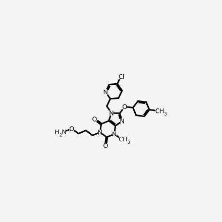 CC1=CCC(Oc2nc3c(c(=O)n(CCCON)c(=O)n3C)n2CC2CC=C(Cl)C=N2)C=C1